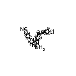 N#CCOc1ccc(-c2ccc3nc(N)nc(N4CCN(C(=O)COc5ccc(Cl)cc5)CC4)c3n2)cc1